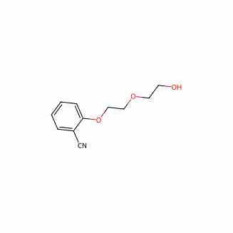 N#Cc1ccccc1OCCOCCO